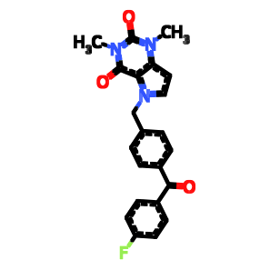 Cn1c(=O)c2c(ccn2Cc2ccc(C(=O)c3ccc(F)cc3)cc2)n(C)c1=O